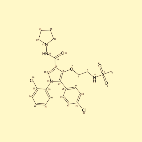 CS(=O)(=O)NCCOc1c(C(=O)NN2CCCC2)nn(-c2ccccc2Cl)c1-c1ccc(Cl)cc1